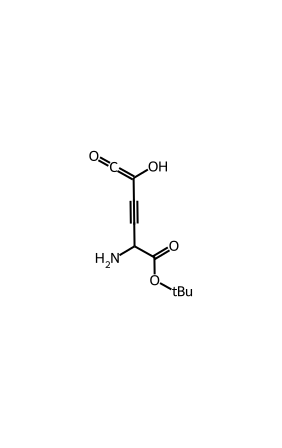 CC(C)(C)OC(=O)C(N)C#CC(O)=C=O